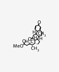 COC(=O)CC[C@@H](C)[C@H]1CC[C@H]2[C@@H]3CCC4=CC(=O)C=C[C@]4(C)[C@H]3CC(=O)[C@]12C